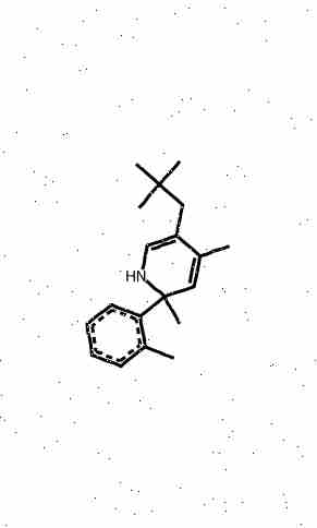 CC1=CC(C)(c2ccccc2C)NC=C1CC(C)(C)C